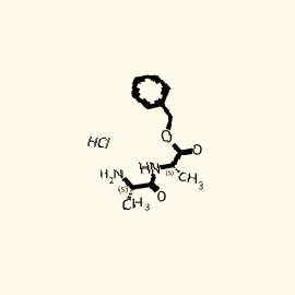 C[C@H](N)C(=O)N[C@@H](C)C(=O)OCc1ccccc1.Cl